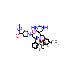 Cc1ccccc1/C1=C/C(N2CCC(C(N)=O)CC2)OC2=C(CNCN2)C(Cc2cc(C(F)(F)F)cc(C(F)(F)F)c2)[NH+]1[O-]